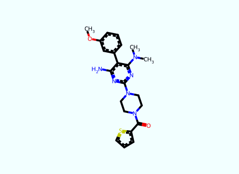 COc1cccc(-c2c(N)nc(N3CCN(C(=O)c4cccs4)CC3)nc2N(C)C)c1